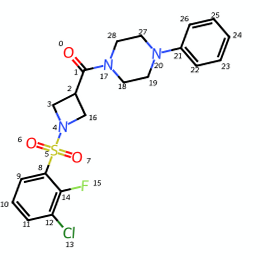 O=C(C1CN(S(=O)(=O)c2cccc(Cl)c2F)C1)N1CCN(c2ccccc2)CC1